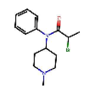 CC(Br)C(=O)N(c1ccccc1)C1CCN(C)CC1